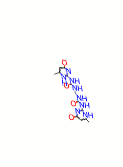 Cc1cc(=O)nc(NC(=O)NCNC(=O)Nc2nc(=O)cc(C)[nH]2)[nH]1